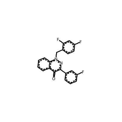 O=c1c(-c2cccc(F)c2)nn(Cc2ccc(F)cc2F)c2ccccc12